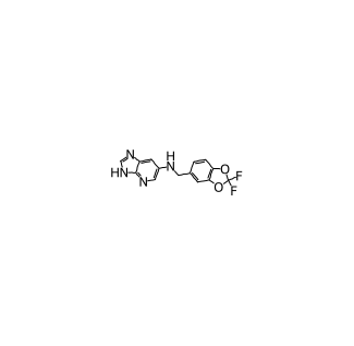 FC1(F)Oc2ccc(CNc3cnc4[nH]cnc4c3)cc2O1